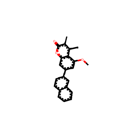 COc1cc(-c2ccc3ccccc3c2)cc2oc(=O)c(C)c(C)c12